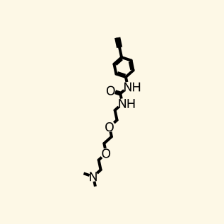 C#Cc1ccc(NC(=O)NCCOCCOCCN(C)C)cc1